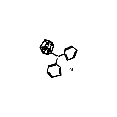 [Pd].c1ccc(P(c2ccccc2)[C]23[CH]4[CH]5[CH]6[CH]2[Fe]56432789[CH]3[CH]2[CH]7[CH]8[CH]39)cc1